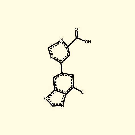 O=C(O)c1cc(-c2cc(Cl)c3ncoc3c2)ncn1